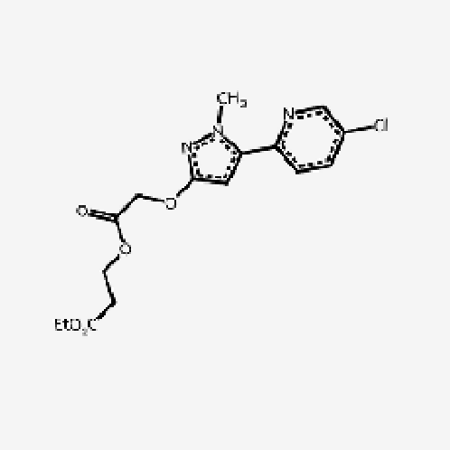 CCOC(=O)CCOC(=O)COc1cc(-c2ccc(Cl)cn2)n(C)n1